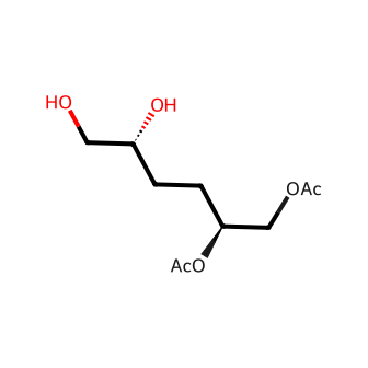 CC(=O)OC[C@H](CC[C@@H](O)CO)OC(C)=O